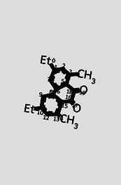 CCc1cc(C)c2c(c1)-c1cc(CC)cc(C)c1C(=O)C2=O